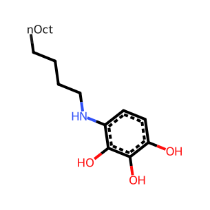 CCCCCCCCCCCCNc1ccc(O)c(O)c1O